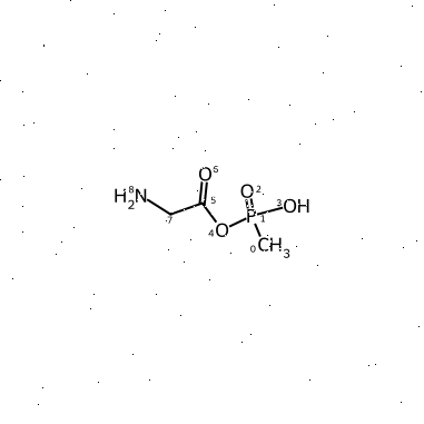 CP(=O)(O)OC(=O)CN